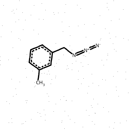 Cc1cccc(CN=[N+]=[N-])c1